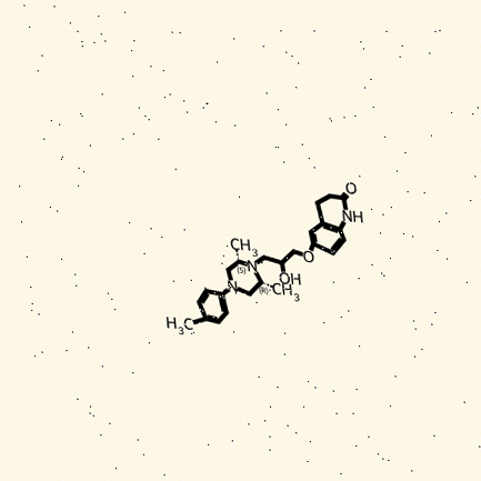 Cc1ccc(N2C[C@@H](C)N(CC(O)COc3ccc4c(c3)CCC(=O)N4)[C@@H](C)C2)cc1